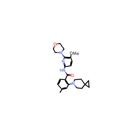 COc1ccc(NC(=O)c2ccc(C)cc2N2CCC3(CC2)CC3)nc1N1CCOCC1